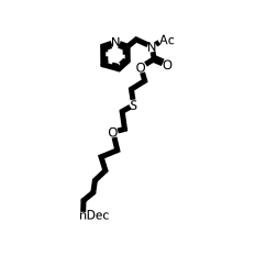 CCCCCCCCCCCCCCCCOCCSCCOC(=O)N(Cc1ccccn1)C(C)=O